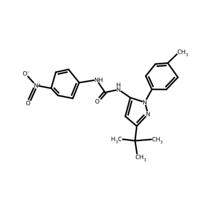 Cc1ccc(-n2nc(C(C)(C)C)cc2NC(=O)Nc2ccc([N+](=O)[O-])cc2)cc1